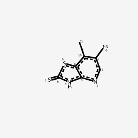 CCc1cnc2[nH]c(=S)sc2c1C